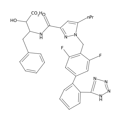 CCCc1cc(C(=O)NC(Cc2ccccc2)C(O)C(=O)O)nn1Cc1c(F)cc(-c2ccccc2-c2nnn[nH]2)cc1F